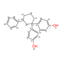 Oc1ccc(C2(c3ccc(O)cc3)CCCC(c3ccccc3)C2)cc1